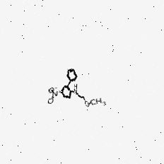 COCCNc1ccc([N+](=O)[O-])cc1-c1ccccc1